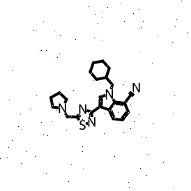 N#Cc1cccc2c(-c3nsc(CN4CCCC4)n3)cn(CC3CCCCC3)c12